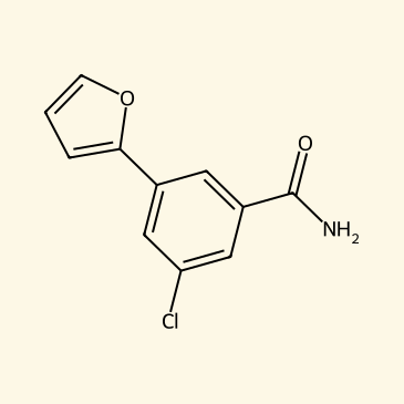 NC(=O)c1cc(Cl)cc(-c2ccco2)c1